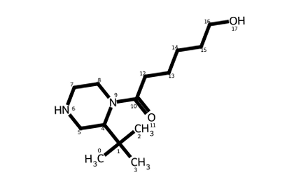 CC(C)(C)C1CNCCN1C(=O)CCCCCO